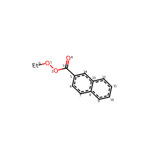 CCOOC(=O)c1ccc2ccccc2c1